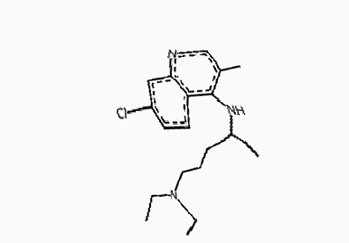 CCN(CC)CCCC(C)Nc1c(C)cnc2cc(Cl)ccc12